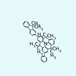 CC1(C)c2ccccc2-c2ccc(-c3cc4c5c(c3)C(C)(C)c3cc(-c6ccccc6)cc6c3N5c3c(cccc3C4(C)C)C6(C)C)cc21